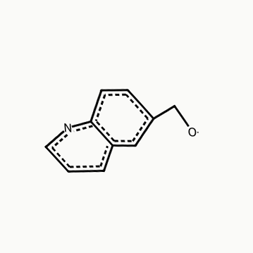 [O]Cc1ccc2ncccc2c1